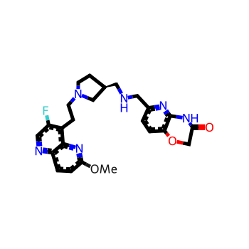 COc1ccc2ncc(F)c(CCN3CC[C@@H](CNCc4ccc5c(n4)NC(=O)CO5)C3)c2n1